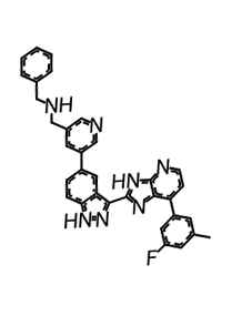 Cc1cc(F)cc(-c2ccnc3[nH]c(-c4n[nH]c5ccc(-c6cncc(CNCc7ccccc7)c6)cc45)nc23)c1